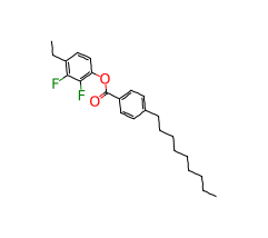 CCCCCCCCCc1ccc(C(=O)Oc2ccc(CC)c(F)c2F)cc1